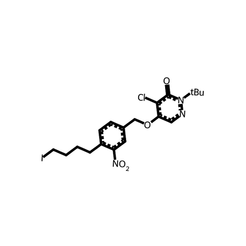 CC(C)(C)n1ncc(OCc2ccc(CCCCI)c([N+](=O)[O-])c2)c(Cl)c1=O